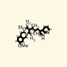 C=C(OCC)/C(C(=C)/C(C)=C/c1c[nH]c2ncccc12)=C(/C)N1CCc2ccc(OC)cc2C1